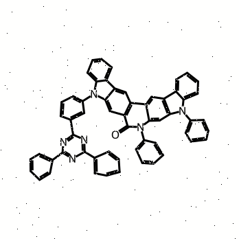 O=c1c2cc3c(cc2c2cc4c5ccccc5n(-c5ccccc5)c4cc2n1-c1ccccc1)c1ccccc1n3-c1cccc(-c2nc(-c3ccccc3)nc(-c3ccccc3)n2)c1